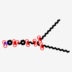 CCCCCCCCCCCCCCCC(=O)OCC(COC(=O)CCCCCCCCCCCCCCC)OC(=O)CCC(=O)Oc1ccc(COC(=O)Oc2ccc([N+](=O)[O-])cc2)cc1